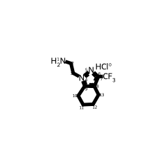 Cl.NCCn1nc(C(F)(F)F)c2c1CCCC2